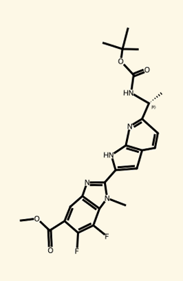 COC(=O)c1cc2nc(-c3cc4ccc([C@@H](C)NC(=O)OC(C)(C)C)nc4[nH]3)n(C)c2c(F)c1F